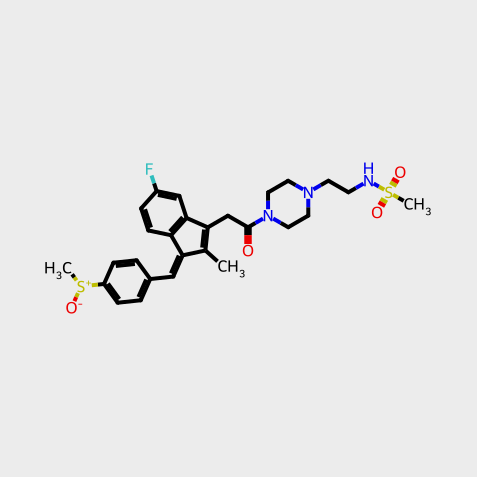 CC1=C(CC(=O)N2CCN(CCNS(C)(=O)=O)CC2)c2cc(F)ccc2/C1=C\c1ccc([S+](C)[O-])cc1